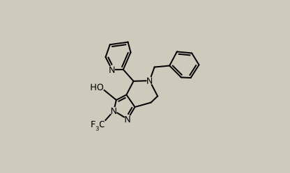 Oc1c2c(nn1C(F)(F)F)CCN(Cc1ccccc1)C2c1ccccn1